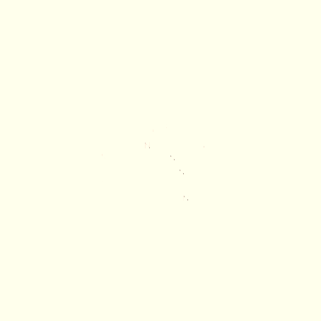 O=C1CC[C@@H](COC2CCCCO2)N1c1ccc2ncc(-c3cc4ccccc4o3)n2n1